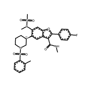 CNC(=O)c1c(-c2ccc(F)cc2)oc2cc(N(C)S(C)(=O)=O)c([C@@H]3CCCN(S(=O)(=O)c4ccccc4C)C3)cc12